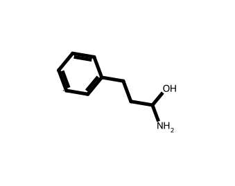 NC(O)CCc1c[c]ccc1